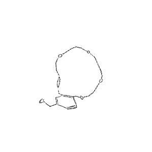 ClCc1ccc2c(c1)OCCOCCOCCOCCO2